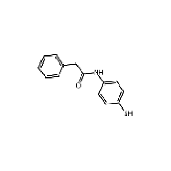 O=C(Cc1ccccc1)Nc1ccc(S)cc1